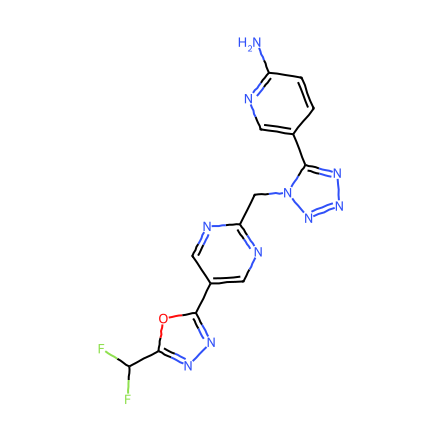 Nc1ccc(-c2nnnn2Cc2ncc(-c3nnc(C(F)F)o3)cn2)cn1